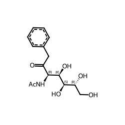 CC(=O)N[C@@H](C(=O)Cc1ccccc1)[C@@H](O)[C@H](O)[C@H](O)CO